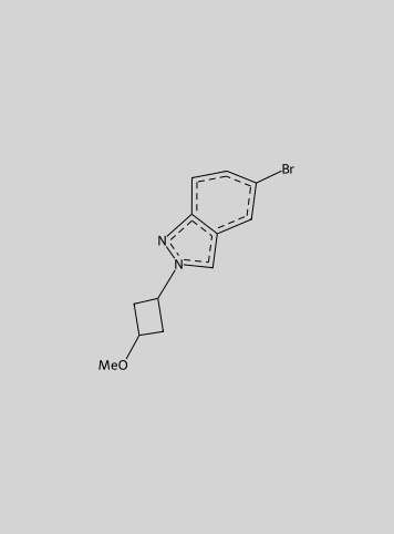 COC1CC(n2cc3cc(Br)ccc3n2)C1